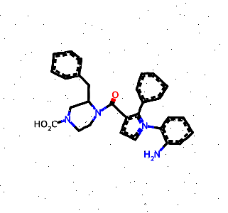 Nc1ccccc1-n1ccc(C(=O)N2CCN(C(=O)O)CC2Cc2ccccc2)c1-c1ccccc1